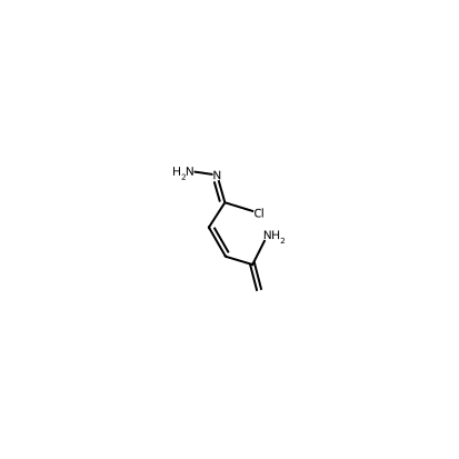 C=C(N)/C=C\C(Cl)=N/N